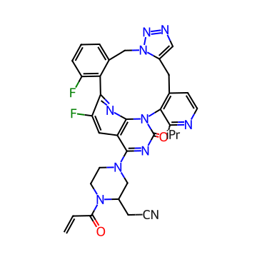 C=CC(=O)N1CCN(c2nc(=O)n3c4nc(c(F)cc24)-c2c(F)cccc2Cn2nncc2Cc2ccnc(C(C)C)c2-3)CC1CC#N